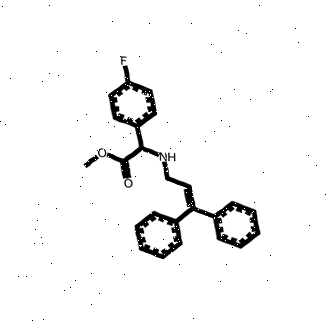 COC(=O)C(NCC=C(c1ccccc1)c1ccccc1)c1ccc(F)cc1